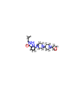 O=C(NCC1CC1)c1cccc(N2CCCN(C3CCN(C4CCOC4)CC3)CC2)n1